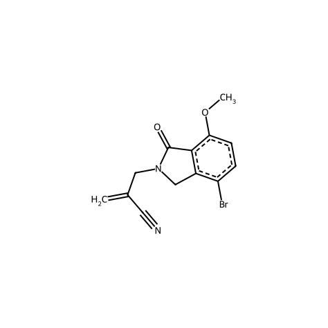 C=C(C#N)CN1Cc2c(Br)ccc(OC)c2C1=O